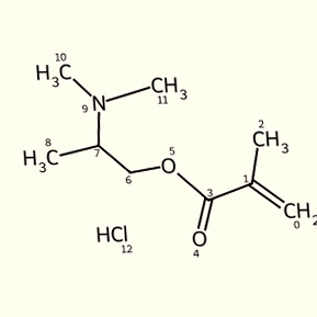 C=C(C)C(=O)OCC(C)N(C)C.Cl